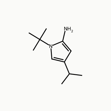 CC(C)c1cc(N)n(C(C)(C)C)c1